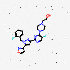 OCCN1CCN(c2nc(-c3cc(-c4ccon4)n(Cc4ccccc4F)n3)ncc2F)CC1